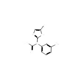 CC(C)c1cnc(N(C(N)=O)c2cccc(C#N)c2)s1